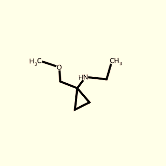 CCNC1(COC)CC1